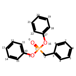 O=P([C]c1ccccc1)(Oc1ccccc1)Oc1ccccc1